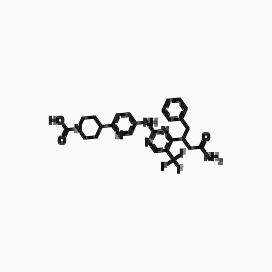 NC(=O)CC(Cc1ccccc1)c1nc(Nc2ccc(C3CCN(C(=O)O)CC3)nc2)ncc1C(F)(F)F